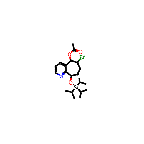 CC(=O)OC1c2cccnc2C(O[Si](C(C)C)(C(C)C)C(C)C)CCC1Br